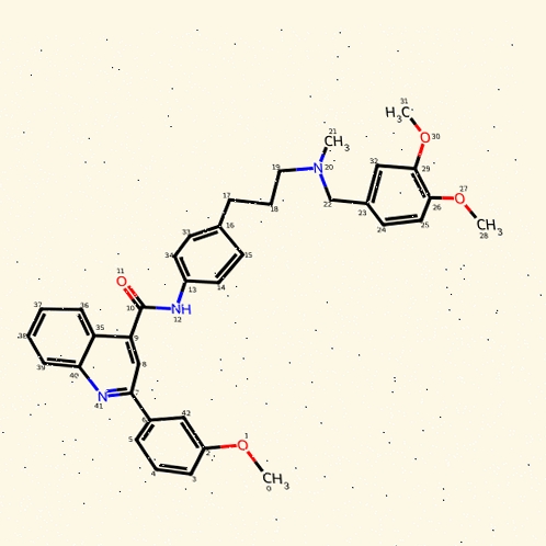 COc1cccc(-c2cc(C(=O)Nc3ccc(CCCN(C)Cc4ccc(OC)c(OC)c4)cc3)c3ccccc3n2)c1